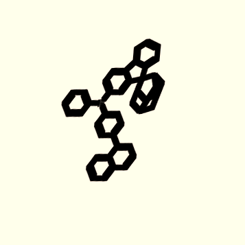 c1ccc(N(c2ccc(-c3cccc4ccccc34)cc2)c2ccc3c(c2)C2(c4ccccc4-3)C3CC4CC(C3)CC2C4)cc1